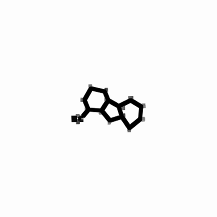 CC1CCCC2C1CC1CCCCC12